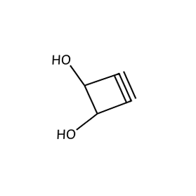 OC1C#CC1O